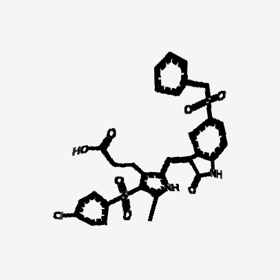 Cc1[nH]c(/C=C2\C(=O)Nc3ccc(S(=O)(=O)Cc4ccccc4)cc32)c(CCC(=O)O)c1S(=O)(=O)c1ccc(Cl)cc1